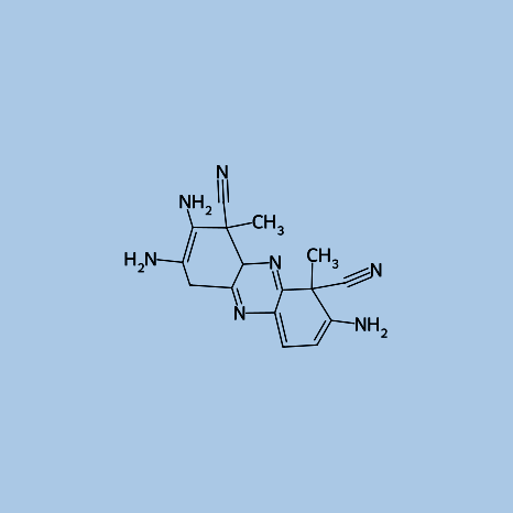 CC1(C#N)C(N)=CC=C2N=C3CC(N)=C(N)C(C)(C#N)C3N=C21